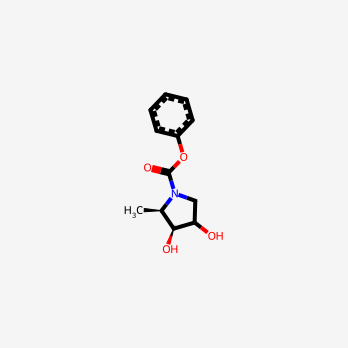 C[C@@H]1[C@H](O)C(O)CN1C(=O)Oc1ccccc1